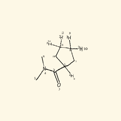 [2H]C1(C(=O)N(C)C)CC([2H])([2H])C([2H])([2H])C1